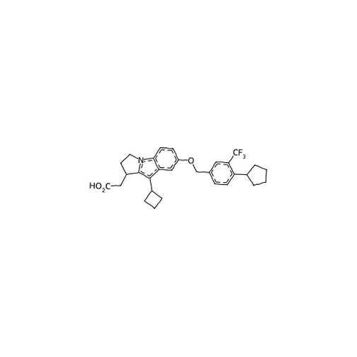 O=C(O)CC1CCn2c1c(C1CCC1)c1cc(OCc3ccc(C4CCCC4)c(C(F)(F)F)c3)ccc12